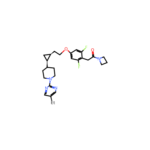 CCc1cnc(N2CCC([C@H]3C[C@H]3CCOc3cc(F)c(CC(=O)N4CCC4)c(F)c3)CC2)nc1